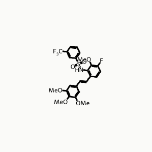 COc1cc(C=Cc2ccc(F)c(OC)c2NS(=O)(=O)c2cccc(C(F)(F)F)c2)cc(OC)c1OC